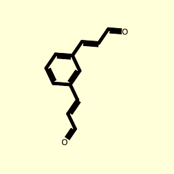 O=CC=Cc1cccc(C=CC=O)c1